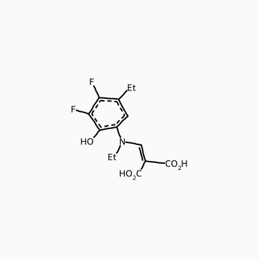 CCc1cc(N(C=C(C(=O)O)C(=O)O)CC)c(O)c(F)c1F